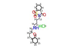 Cl.O=C1c2ccccc2S(=O)(=O)N1CCCCNCC1CCc2ccccc2O1